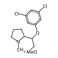 COCC(Oc1cc(Cl)cc(Cl)c1)C1CCCN1C